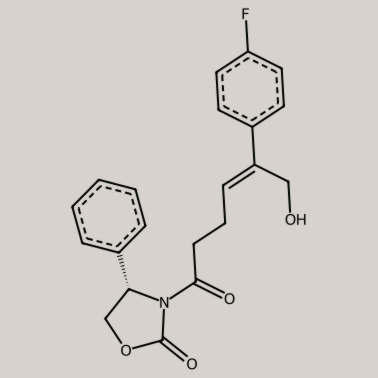 O=C(CC/C=C(\CO)c1ccc(F)cc1)N1C(=O)OC[C@@H]1c1ccccc1